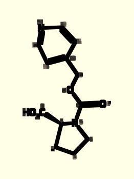 O=C(O)[C@@H]1CCCN1C(=O)OCc1ccncc1